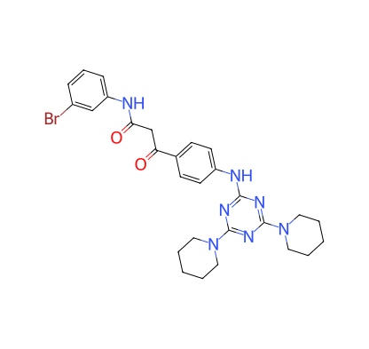 O=C(CC(=O)c1ccc(Nc2nc(N3CCCCC3)nc(N3CCCCC3)n2)cc1)Nc1cccc(Br)c1